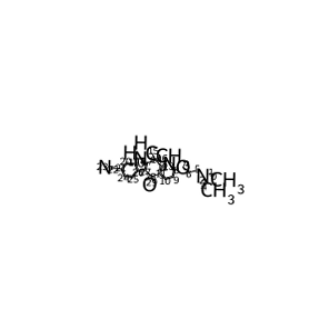 CCN(CC)CCOc1ccc2c(n1)C(C)(C)c1[nH]c3cc(C#N)ccc3c1C2=O